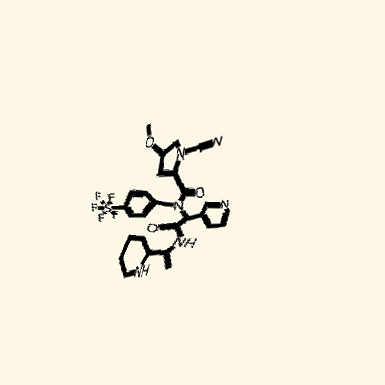 COC1CC(C(=O)N(c2ccc(S(F)(F)(F)(F)F)cc2)C(C(=O)NC(C)C2CCCCN2)c2cccnc2)N(C#N)C1